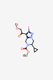 CCOCC(=O)c1c(I)nn2c1CN(C(=O)OC(C)(C)C)C(C1CC1)C2